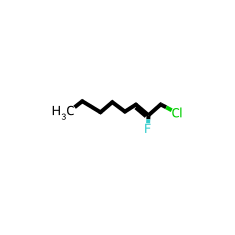 CCCCCC=C(F)CCl